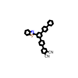 N#Cc1ccc(-c2ccc(-c3cc(-c4ccc(-c5ccccc5)cc4)cc(-c4nc5ccccc5s4)c3)cc2)cc1C#N